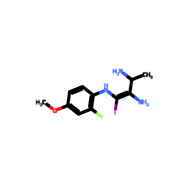 COc1ccc(N/C(I)=C(/N)C(C)N)c(F)c1